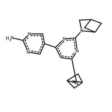 Nc1ncc(-c2cc(N3CC4CC3C4)nc(N3CC4CC3C4)n2)cn1